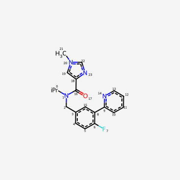 CC(C)N(Cc1ccc(F)c(-c2ccccn2)c1)C(=O)c1cn(C)cn1